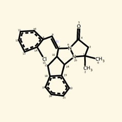 CC1(C)CC(=O)N2/C(=C/c3ccccc3Cl)C3Cc4ccccc4C3N21